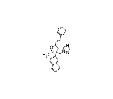 CN1OC(C=Cc2ccccc2)CC1(Cn1cncn1)c1ccc2ccccc2c1